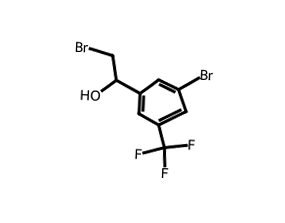 OC(CBr)c1cc(Br)cc(C(F)(F)F)c1